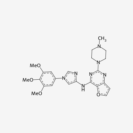 COc1cc(-n2cnc(Nc3nc(N4CCN(C)CC4)nc4ccoc34)c2)cc(OC)c1OC